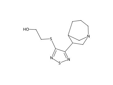 OCCSc1nsnc1C1CN2CCCC1C2